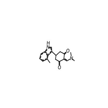 Cc1cccc2[nH]cc(C3CC(=O)C(=CN(C)C)C(=O)C3)c12